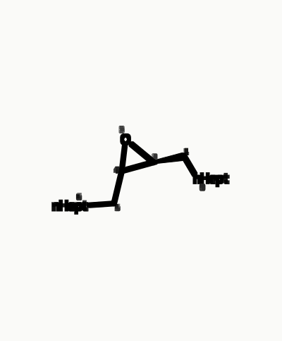 [CH2]CCCCCCC[C@@H]1OC1CCCCCCCC